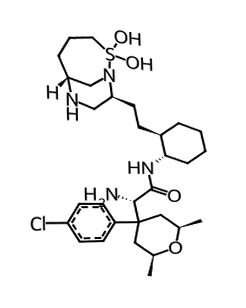 C[C@@H]1CC(c2ccc(Cl)cc2)([C@H](N)C(=O)N[C@H]2CCCC[C@@H]2CC[C@H]2CN[C@@H]3CCCS(O)(O)N2C3)C[C@H](C)O1